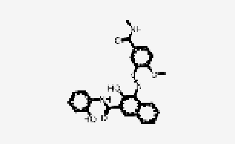 CNC(=O)c1ccc(OC)c(/N=N/c2c(O)c(C(=O)Nc3ccccc3O)cc3ccccc23)c1